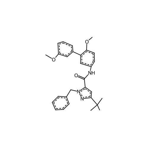 COc1cccc(-c2cc(NC(=O)c3cc(C(C)(C)C)nn3Cc3ccccc3)ccc2OC)c1